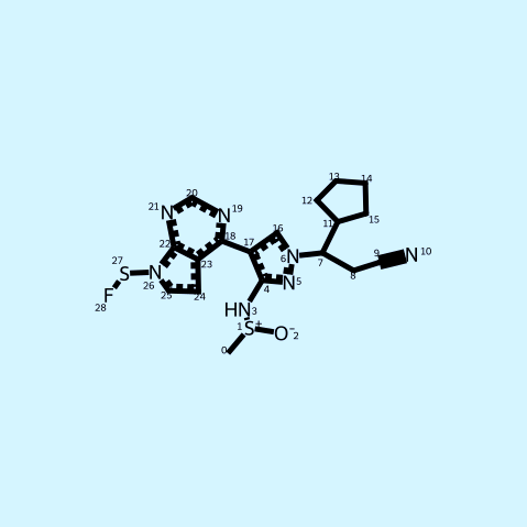 C[S+]([O-])Nc1nn(C(CC#N)C2CCCC2)cc1-c1ncnc2c1ccn2SF